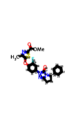 COC(=O)c1nc(C)c(Oc2ccc(-n3nc4n(c3=O)[C@H](c3ccccc3)CC4)cc2F)s1